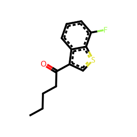 CCCCC(=O)c1csc2c(F)cccc12